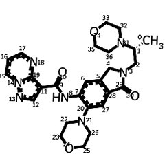 C[C@H](CN1Cc2cc(NC(=O)c3cnn4cccnc34)c(N3CCOCC3)cc2C1=O)N1CCOCC1